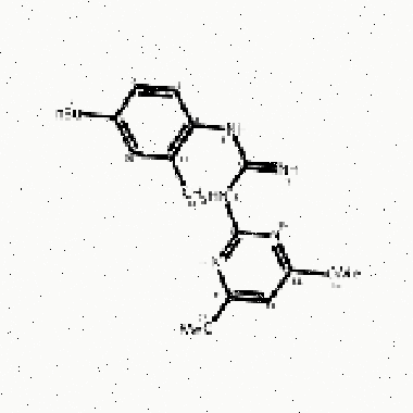 CCCCc1ccc(NC(=N)Nc2nc(OC)cc(OC)n2)c(C)c1